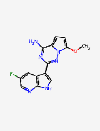 COc1ccc2c(N)nc(-c3c[nH]c4ncc(F)cc34)nn12